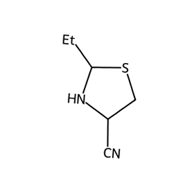 CCC1NC(C#N)CS1